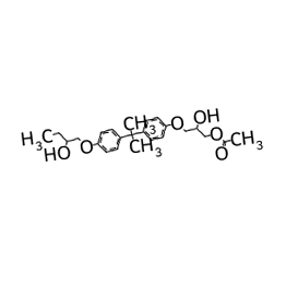 CCC(O)COc1ccc(C(C)(C)c2ccc(OCC(O)COC(C)=O)cc2)cc1